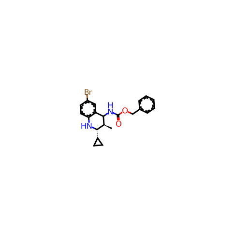 C[C@@H]1C(NC(=O)OCc2ccccc2)c2cc(Br)ccc2N[C@H]1C1CC1